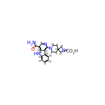 NC(=O)c1cnc(N2CCC3(CC2)CN(C(=O)O)C3)c2c1[nH]c1ccccc12